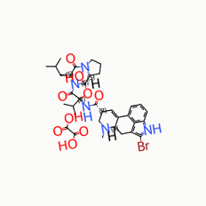 CC(C)C[C@H]1C(=O)N2CCC[C@H]2[C@]2(O)O[C@](NC(=O)[C@@H]3C=C4c5cccc6[nH]c(Br)c(c56)C[C@@H]4N(C)C3)(C(C)C)C(=O)N12.O=C(O)C(=O)O